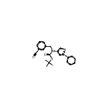 CC(C)(C)OC(=O)N(Cc1cccc(C#N)c1)c1cnn(-c2ccccc2)c1